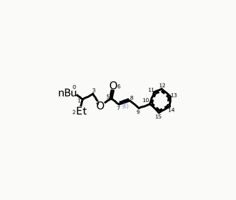 CCCCC(CC)COC(=O)/C=C/Cc1ccccc1